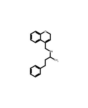 CC(CCc1ccccc1)NCC1=CCOc2ccccc21